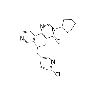 O=c1c2c(ncn1C1CCCCC1)-c1ccncc1C(Cc1ccc(Cl)nc1)C2